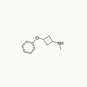 CNC1CC(Oc2ccccc2)C1